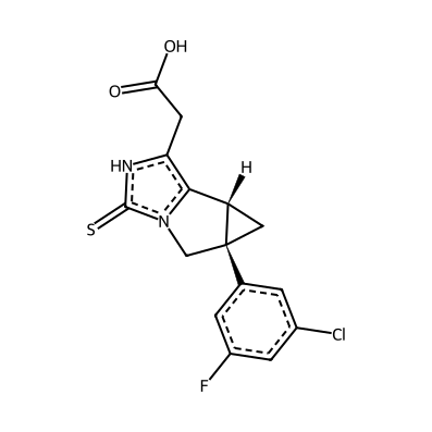 O=C(O)Cc1[nH]c(=S)n2c1[C@@H]1C[C@]1(c1cc(F)cc(Cl)c1)C2